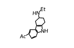 CCNC1CCc2[nH]c3ccc(C(C)=O)cc3c2C1